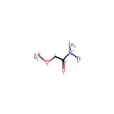 CCN(C)C(=O)CO[N+](=O)[O-]